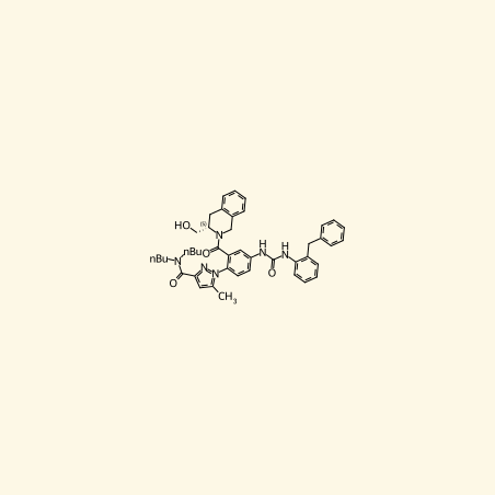 CCCCN(CCCC)C(=O)c1cc(C)n(-c2ccc(NC(=O)Nc3ccccc3Cc3ccccc3)cc2C(=O)N2Cc3ccccc3C[C@H]2CO)n1